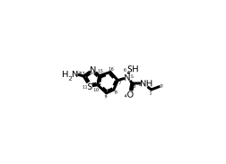 CCNC(=O)N(S)c1ccc2sc(N)nc2c1